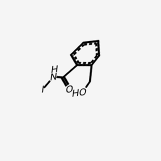 O=C(NI)c1ccccc1CO